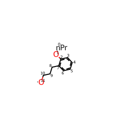 CCCOc1ccccc1CCC[O]